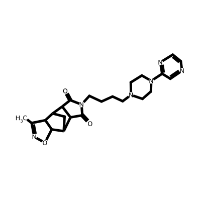 CC1=NOC2C3CC(C12)C1C(=O)N(CCCCN2CCN(c4cnccn4)CC2)C(=O)C31